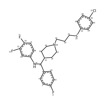 Fc1ccc(C(Nc2ccc(F)c(F)c2)C2CCN(CCCSc3ccc(Cl)cc3)CC2)cc1